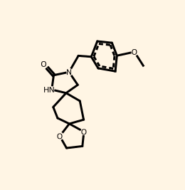 COc1ccc(CN2CC3(CCC4(CC3)OCCO4)NC2=O)cc1